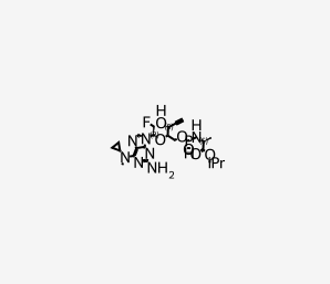 C#C[C@H](O)C(CO[PH](=O)N[C@@H](C)C(=O)OC(C)C)O[C@H](CF)n1cnc2c(N(C)C3CC3)nc(N)nc21